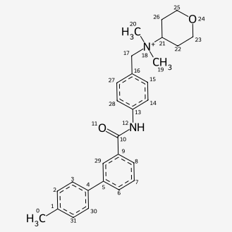 Cc1ccc(-c2cccc(C(=O)Nc3ccc(C[N+](C)(C)C4CCOCC4)cc3)c2)cc1